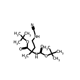 CC(C)(C)OC(=O)NC(C)(CCNC#N)C(=O)OC(C)(C)C